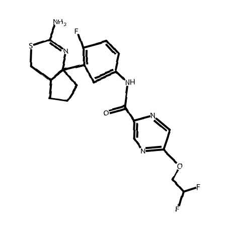 NC1=NC2(c3cc(NC(=O)c4cnc(OCC(F)F)cn4)ccc3F)CCCC2CS1